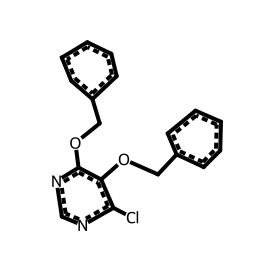 Clc1ncnc(OCc2ccccc2)c1OCc1ccccc1